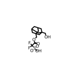 O=C(OCC12CC3CC(CC(CO)(C3)C1)C2)C(F)(F)S(=O)(=O)O